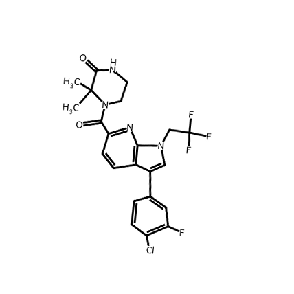 CC1(C)C(=O)NCCN1C(=O)c1ccc2c(-c3ccc(Cl)c(F)c3)cn(CC(F)(F)F)c2n1